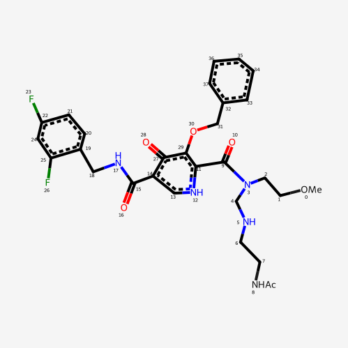 COCCN(CNCCNC(C)=O)C(=O)c1[nH]cc(C(=O)NCc2ccc(F)cc2F)c(=O)c1OCc1ccccc1